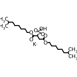 CC(C)CCCCCCOC(=O)CC(C(=O)OCCCCCCC(C)C)S(=O)(=O)O.[K]